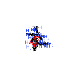 CSCC[C@H](N)C(=O)N[C@@H](CCCNC(=N)N)C(=O)N[C@@H](CCCCN)C(=O)N[C@@H](CC(=O)O)C(=O)N[C@@H](CC(C)C)C(=O)N[C@@H](CCCNC(=N)N)C(=O)N[C@@H](CC(C)C)C(N)=O